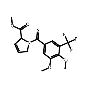 COC(=O)C1C=CCN1C(=S)c1cc(OC)c(OC)c(C(F)(F)F)c1